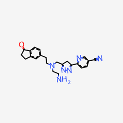 N#Cc1ccc(C2=NN=C(CN(CCN)CCc3ccc4c(c3)CCC4=O)C2)nc1